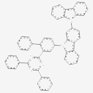 c1ccc(-c2nc(-c3ccccc3)nc(-c3cc(-n4c5ccccc5c5ccc(-n6c7ccccc7c7ccccc76)cc54)ccc3-c3ccccc3)n2)cc1